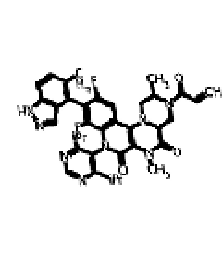 C=CC(=O)N1CC2C(=O)N(C)c3c(c4cc(F)c(-c5c(C)ccc6[nH]ncc56)c(F)c4n(-c4c(C(C)C)ncnc4C(C)C)c3=O)N2CC1C